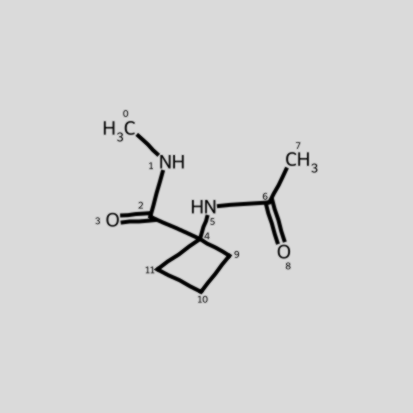 CNC(=O)C1(NC(C)=O)CCC1